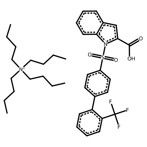 CCCC[N+](CCCC)(CCCC)CCCC.O=C(O)c1cc2ccccc2n1S(=O)(=O)c1ccc(-c2ccccc2C(F)(F)F)cc1